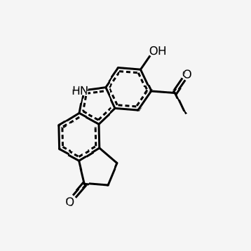 CC(=O)c1cc2c(cc1O)[nH]c1ccc3c(c12)CCC3=O